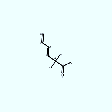 C=C/C=C/C(C)(C)C(C)=O